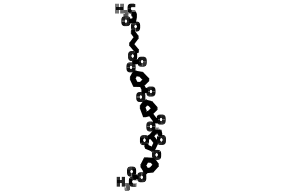 C=CC(=O)OCCCCOC(=O)Oc1ccc(C(=O)Oc2ccc(C(=O)O[C@@H]3COC4C(Oc5ccc(OC(C)=O)cc5)COC43)cc2)cc1